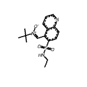 CCNS(=O)(=O)c1ccc2ncccc2c1/C=[N+](\[O-])C(C)(C)C